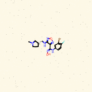 CN1CC[C@@H](CNc2nonc2/C(=N/O)Nc2ccc(F)c(Br)c2)C1